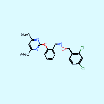 COc1cc(OC)nc(Oc2ccccc2/C=N\OCc2ccc(Cl)cc2Cl)n1